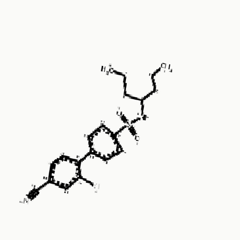 CCCC(CCC)NS(=O)(=O)c1ccc(-c2ccc(C#N)cc2Cl)cc1